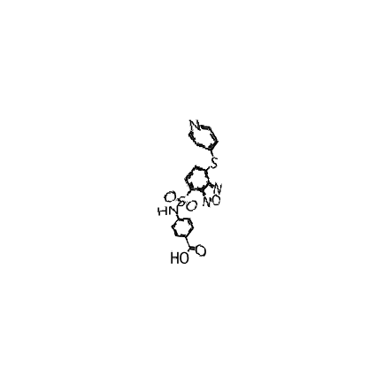 O=C(O)c1ccc(NS(=O)(=O)c2ccc(Sc3ccncc3)c3nonc23)cc1